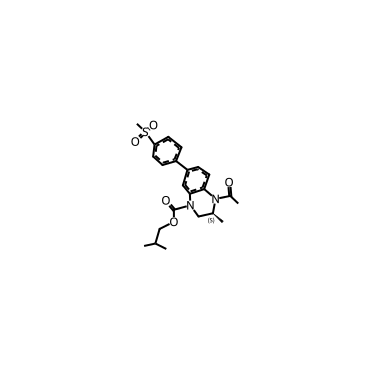 CC(=O)N1c2ccc(-c3ccc(S(C)(=O)=O)cc3)cc2N(C(=O)OCC(C)C)C[C@@H]1C